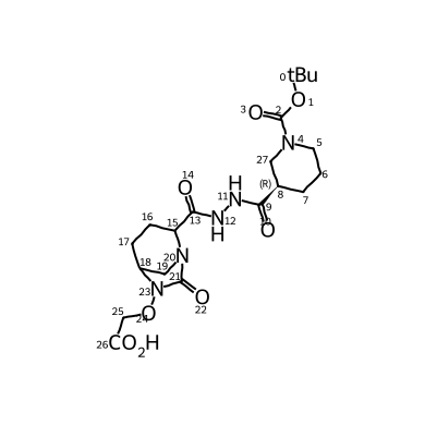 CC(C)(C)OC(=O)N1CCC[C@@H](C(=O)NNC(=O)C2CCC3CN2C(=O)N3OCC(=O)O)C1